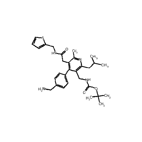 Cc1nc(CC(C)C)c(CNC(=O)OC(C)(C)C)c(-c2ccc(CN)cc2)c1CC(=O)NCc1cccs1